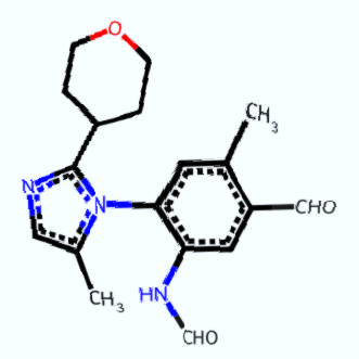 Cc1cc(-n2c(C)cnc2C2CCOCC2)c(NC=O)cc1C=O